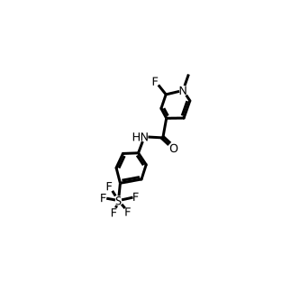 CN1C=CC(C(=O)Nc2ccc(S(F)(F)(F)(F)F)cc2)=CC1F